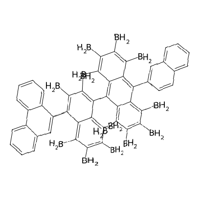 Bc1c(B)c(B)c2c(-c3c4c(B)c(B)c(B)c(B)c4c(-c4ccc5ccccc5c4)c4c(B)c(B)c(B)c(B)c34)c(B)c(B)c(-c3cc4ccccc4c4ccccc34)c2c1B